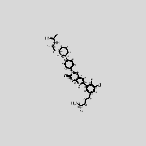 CC(=N)N[C@@H](C)C[C@@H]1CCC[C@@H](c2ccc(-n3cc4cc(-c5cc(CCC[C@H](C)N)cc(Cl)c5F)[nH]c4nc3=O)cc2)N1